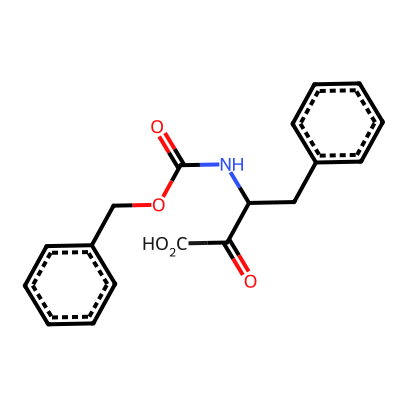 O=C(NC(Cc1ccccc1)C(=O)C(=O)O)OCc1ccccc1